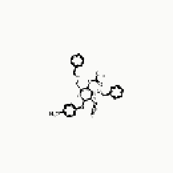 CC(=O)O[C@H]1[C@H](OCc2ccccc2)[C@@H](N=[N+]=[N-])C(Sc2ccc(C)cc2)O[C@@H]1COCc1ccccc1